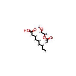 CCCCCCCCC(=O)O.COCCOC(C)=O